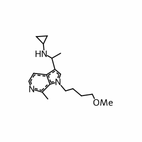 COCCCCn1cc(C(C)NC2CC2)c2ccnc(C)c21